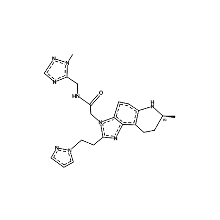 C[C@H]1CCc2c(ccc3c2nc(CCn2cccn2)n3CC(=O)NCc2ncnn2C)N1